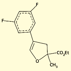 CCOC(=O)C1(C)CC(c2cc(F)cc(F)c2)=CO1